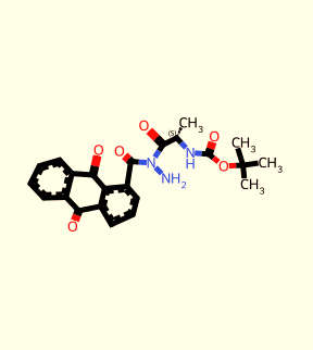 C[C@H](NC(=O)OC(C)(C)C)C(=O)N(N)C(=O)c1cccc2c1C(=O)c1ccccc1C2=O